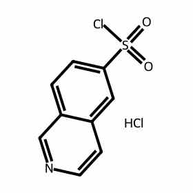 Cl.O=S(=O)(Cl)c1ccc2cnccc2c1